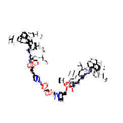 CC1=C(/C=C/C(C)=C/C=C/C(C)=C/C(=O)OCCC2CCN(CCOCCOCCN3CCC(CCOC(=O)/C=C(C)/C=C/C=C(\C)CCC4=C(C)CCCC4(C)C)C3)C2)C(C)(C)CCC1